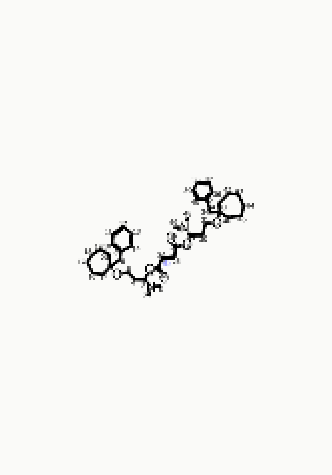 CN(C)C(CCOC1(Cc2ccccc2)CCCCCC1)OC(=O)/C=C/C(=O)OC(CCOC1(Cc2ccccc2)CCCCCC1)N(C)C